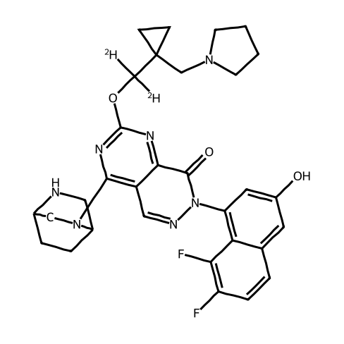 [2H]C([2H])(Oc1nc(N2CC3CCC2CN3)c2cnn(-c3cc(O)cc4ccc(F)c(F)c34)c(=O)c2n1)C1(CN2CCCC2)CC1